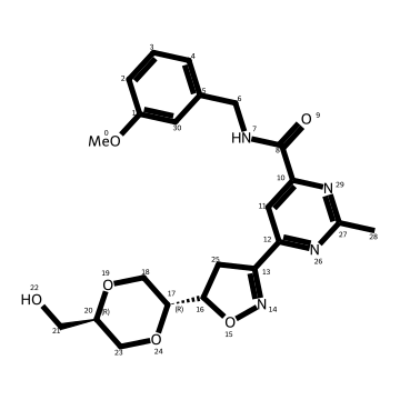 COc1cccc(CNC(=O)c2cc(C3=NOC([C@H]4CO[C@H](CO)CO4)C3)nc(C)n2)c1